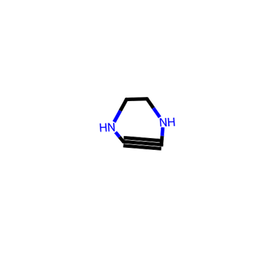 C1#CNCCN1